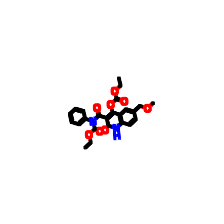 CCOC(=O)Oc1c(C(=O)N(C(=O)OCC)c2ccccc2)c(=O)[nH]c2ccc(COC)cc12